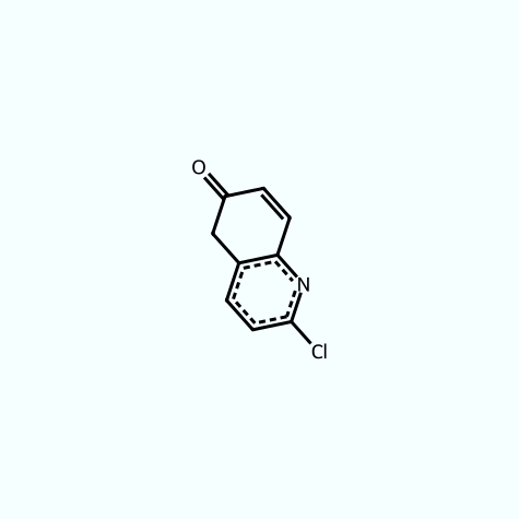 O=C1C=Cc2nc(Cl)ccc2C1